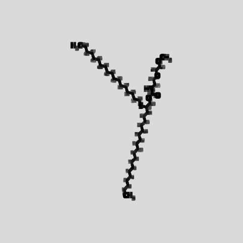 CCCCCCCCCCCCCCCCCCCC(COC(=O)NCCOCCOC)SCCCCCCCCCCCCCCCCCC